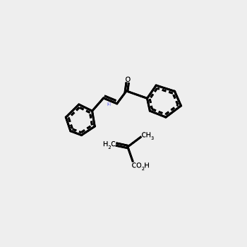 C=C(C)C(=O)O.O=C(/C=C/c1ccccc1)c1ccccc1